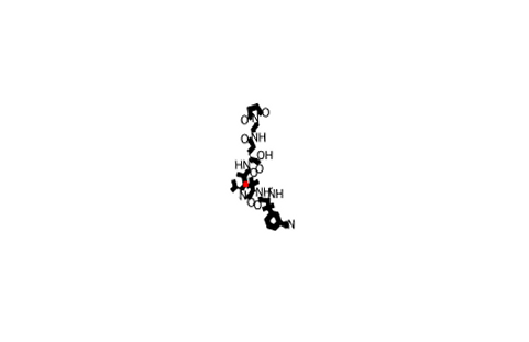 CN[C@H](C(=O)N[C@H](C(=O)N(C)[C@H](/C=C(\C)C(=O)N[C@H](CCC(=O)NCCN1C(=O)C=CC1=O)C(=O)O)C(C)C)C(C)(C)C)C(C)(C)c1cccc(C#N)c1